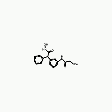 CC(C)(C)CC(=O)Nc1cccc(C(C(=O)NO)c2ccccc2)c1